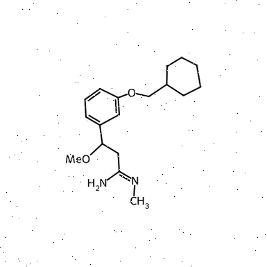 C/N=C(\N)CC(OC)c1cccc(OCC2CCCCC2)c1